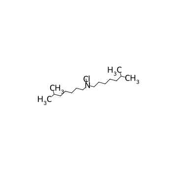 CC(C)CCCCCN(Cl)CCCCCC(C)C